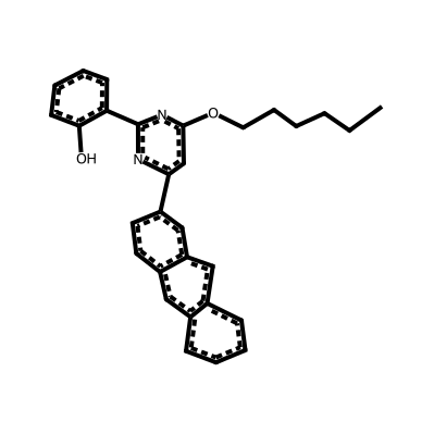 CCCCCCOc1cc(-c2ccc3cc4ccccc4cc3c2)nc(-c2ccccc2O)n1